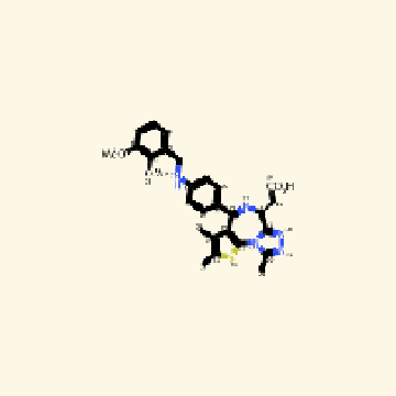 COc1cccc(CNc2ccc(C3=N[C@@H](CC(=O)O)c4nnc(C)n4-c4sc(C)c(C)c43)cc2)c1OC